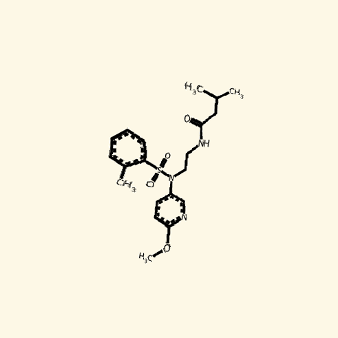 COc1ccc(N(CCNC(=O)CC(C)C)S(=O)(=O)c2ccccc2C)cn1